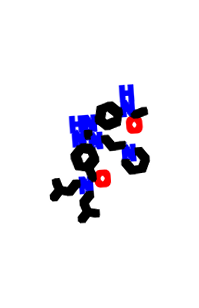 CC(=O)Nc1ccc(Nc2nc3ccc(C(=O)N(CCC(C)C)CCC(C)C)cc3n2CCCN2CCCCC2)cc1